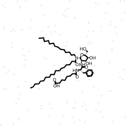 CCCCCCCCCCCCCCCCCC(=O)N(CCCCCCCCCCCCCC)[C@@H]1O[C@H](CO)[C@@H](O)[C@H](O)[C@H]1NC(=O)[C@H](Cc1ccccc1)NC(=O)CCCCCCC(=O)O